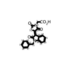 O=C(O)CN1C(=O)S/C(=C2\C(=O)N(Cc3ccccc3)c3ccccc32)C1=O